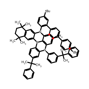 Cc1cc2c3c(c1)N(c1ccc(C(C)(C)C)cc1-c1ccc(-c4ccc(C(C)(C)C)cc4)cc1)c1cc4c(cc1B3c1ccc(C(C)(C)c3ccccc3)cc1N2c1cccc(C(C)(C)c2ccccc2)c1)C(C)(C)CCC4(C)C